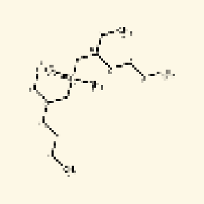 CCCCC(CC)CP(N)(=O)CC(CC)CCCC